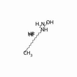 CCCCCCCCCCCCCCCCCCNCCC(N)CCO.F.F